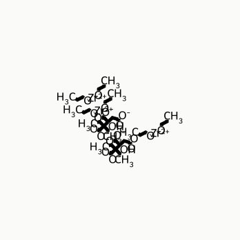 CCC(CC)(C(=O)[O-])C(O)(CC(=O)[O-])C(=O)[O-].CCC(CC)(C(=O)[O-])C(O)(CC(=O)[O-])C(=O)[O-].CCC[O][Zr+2][O]CCC.CCC[O][Zr+2][O]CCC.CCC[O][Zr+2][O]CCC